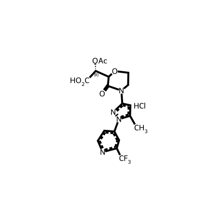 CC(=O)O[C@@H](C(=O)O)C1OCCN(c2cc(C)n(-c3ccnc(C(F)(F)F)c3)n2)C1=O.Cl